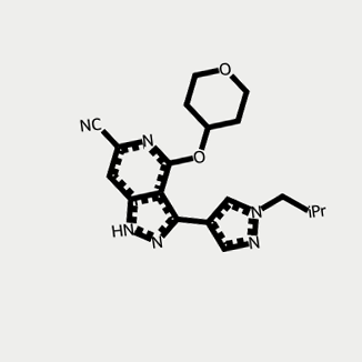 CC(C)Cn1cc(-c2n[nH]c3cc(C#N)nc(OC4CCOCC4)c23)cn1